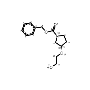 O=C(OCc1ccccc1)N1CC[C@H](OCCO)C1